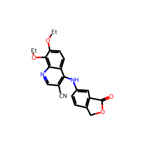 CCOc1ccc2c(Nc3ccc4c(c3)C(=O)OC4)c(C#N)cnc2c1OCC